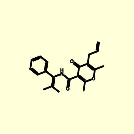 C=CCc1c(C)oc(C)c(C(=O)NC(=C(C)C)c2ccccc2)c1=O